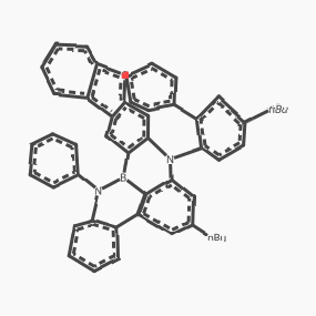 CCCCc1ccc(N2c3cc4oc5ccccc5c4cc3B3c4c(cc(CCCC)cc42)-c2ccccc2N3c2ccccc2)c(-c2ccccc2)c1